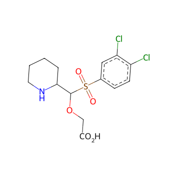 O=C(O)COC(C1CCCCN1)S(=O)(=O)c1ccc(Cl)c(Cl)c1